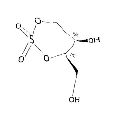 O=S1(=O)OC[C@@H](O)[C@@H](CO)O1